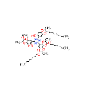 CCCCCCCCCC(=O)C(C)Oc1ccc(-c2nc(-c3ccc(OC(C)C(=O)OC)cc3O)nc(-c3ccc(OC(C)C(=O)OCCCCCCCC)cc3OC(C)C(=O)OCCCCCCCC)n2)c(O)c1